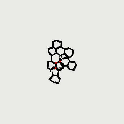 c1ccc(-c2ccccc2N(c2ccc3c(c2)oc2ccccc23)c2ccccc2-c2cccc3oc4c5ccccc5ccc4c23)cc1